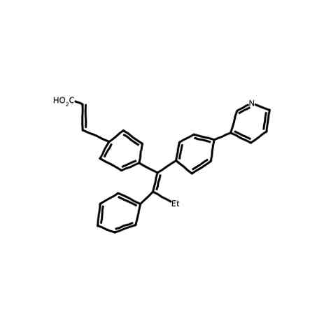 CC/C(=C(/c1ccc(/C=C/C(=O)O)cc1)c1ccc(-c2cccnc2)cc1)c1ccccc1